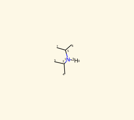 [2H]N(C(C)C)C(C)C